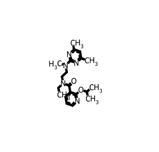 CCN(CCN(C)c1nc(C)cc(C)n1)C(=O)c1cccnc1OC(C)C